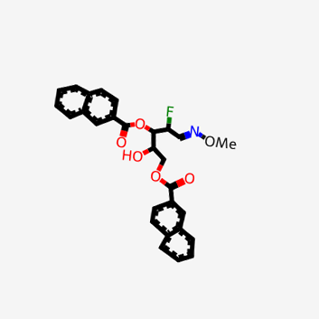 CON=CC(F)C(OC(=O)c1ccc2ccccc2c1)C(O)COC(=O)c1ccc2ccccc2c1